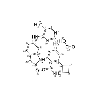 Cc1cnc(Nc2ccc(C(N)=O)c(C3CCC3)c2)nc1Nc1ccc2oc(=O)[nH]c2c1.O=CO